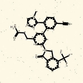 Cn1cnnc1-c1ccc(C#N)cc1-c1cc(CCC(N)=O)nc(N2Cc3c(cccc3C(F)(F)F)C2=O)c1